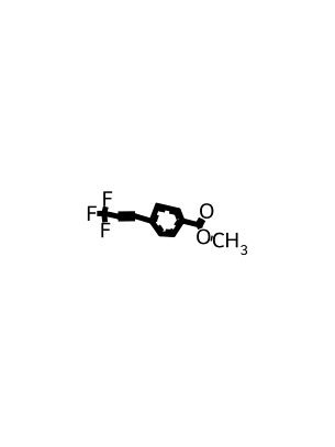 COC(=O)c1ccc(C#CC(F)(F)F)cc1